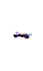 CCc1cc(F)cc(C)c1C(=O)NC(Cc1ccc(-c2cc(CNc3cc(C)ccn3)co2)cc1)C(=O)O